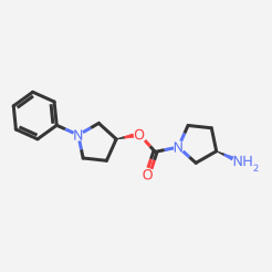 N[C@@H]1CCN(C(=O)O[C@H]2CCN(c3ccccc3)C2)C1